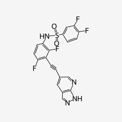 O=S(=O)(Nc1ccc(F)c(C#Cc2cnc3[nH]ncc3c2)c1F)c1ccc(F)c(F)c1